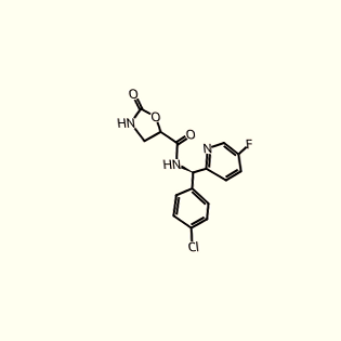 O=C1NCC(C(=O)N[C@H](c2ccc(Cl)cc2)c2ccc(F)cn2)O1